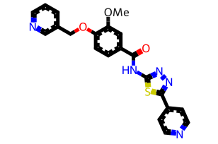 COc1cc(C(=O)Nc2nnc(-c3ccncc3)s2)ccc1OCc1cccnc1